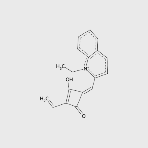 C=CC1=C(O)C(=Cc2ccc3ccccc3[n+]2CC)C1=O